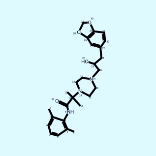 Cc1cccc(C)c1NC(=O)C(C)(C)N1CCN(CC(O)Cc2ccc3c(c2)OCO3)CC1